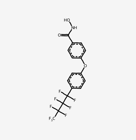 O=C(NO)c1ccc(Oc2ccc(C(F)(F)C(F)(F)C(F)(F)C(F)(F)F)cc2)cc1